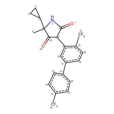 CC1(C2CC2)NC(=O)C(c2cc(-c3ccc(C(F)(F)F)cc3)ccc2C(F)(F)F)C1=O